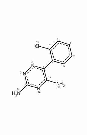 Nc1nnc(-c2ccccc2Cl)c(N)n1